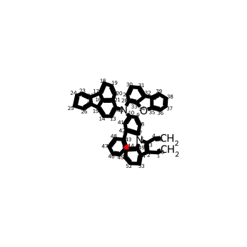 C=Cc1c(C=C)n(-c2ccc(N(c3ccc4c5c(cccc35)-c3ccccc3-4)c3cccc4c3oc3ccccc34)cc2-c2ccccc2)c2ccccc12